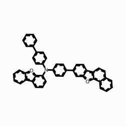 c1ccc(-c2ccc(N(c3ccc(-c4ccc5c(c4)oc4c6ccccc6ccc54)cc3)c3cccc4c3oc3ccccc34)cc2)cc1